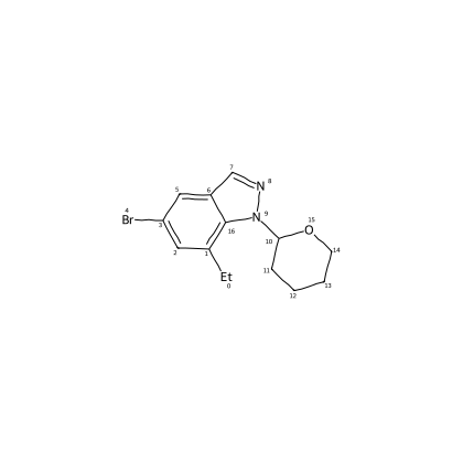 CCc1cc(Br)cc2cnn(C3CCCCO3)c12